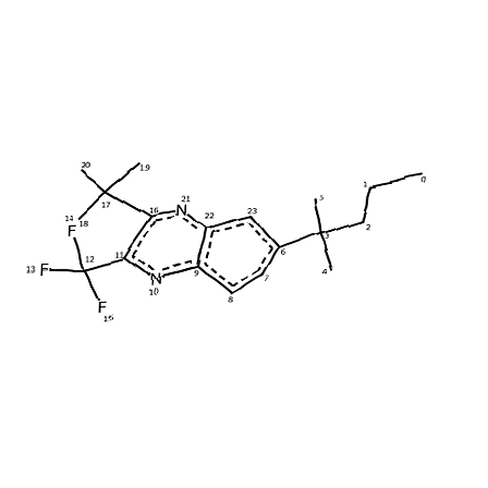 CCCC(C)(C)c1ccc2nc(C(F)(F)F)c(C(C)(C)C)nc2c1